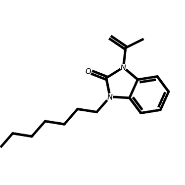 C=C(C)n1c(=O)n(CCCCCCCl)c2ccccc21